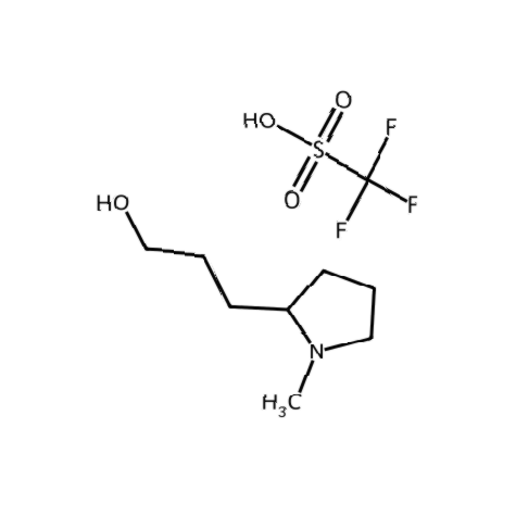 CN1CCCC1CCCO.O=S(=O)(O)C(F)(F)F